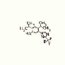 CC(C)c1cc(C(C)C)c(-n2cnc(C(F)(F)F)n2)cc1S